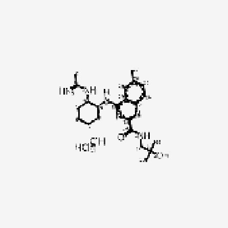 CC(=N)N[C@@H]1CCCC[C@@H]1Nc1nc(C(=O)NCC(C)(C)O)nc2ccc(C)cc12.Cl.Cl